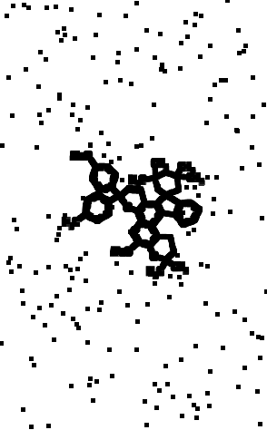 COc1ccc(C2(c3ccc(C)cc3)C=Cc3c4c(c5c6c(c(OC)cc5c3O2)OC(C)(C)CC6)-c2ccccc2C42CC(C)(C)CC(C)(C)C2)cc1